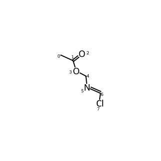 CC(=O)OCN=CCl